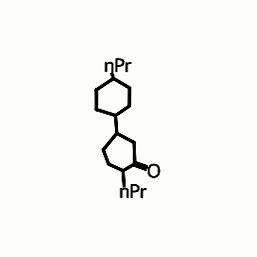 CCCC1CCC(C2CCC(CCC)C(=O)C2)CC1